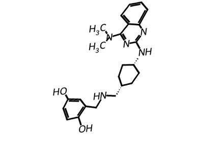 CN(C)c1nc(N[C@H]2CC[C@@H](CNCc3cc(O)ccc3O)CC2)nc2ccccc12